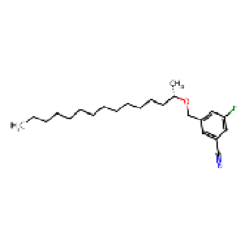 CCCCCCCCCCCCC[C@H](C)OCc1cc(F)cc(C#N)c1